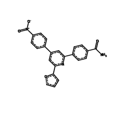 NC(=O)c1ccc(-c2cc(-c3ccc([N+](=O)[O-])cc3)cc(-c3ccco3)n2)cc1